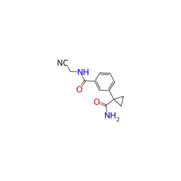 N#CCNC(=O)c1cccc(C2(C(N)=O)CC2)c1